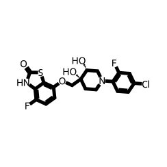 O=c1[nH]c2c(F)ccc(OC[C@]3(O)CCN(c4ccc(Cl)cc4F)C[C@H]3O)c2s1